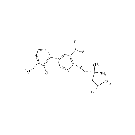 Cc1nccc(-c2cnc(OCC(C)(N)CC(C)C)c(C(F)F)c2)c1C